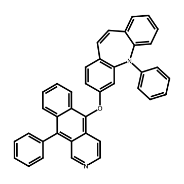 C1=Cc2ccc(Oc3c4ccccc4c(-c4ccccc4)c4cnccc34)cc2N(c2ccccc2)c2ccccc21